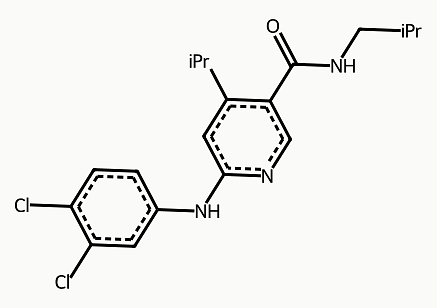 CC(C)CNC(=O)c1cnc(Nc2ccc(Cl)c(Cl)c2)cc1C(C)C